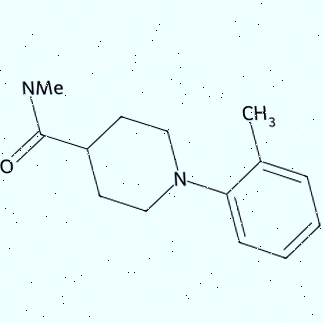 CNC(=O)C1CCN(c2ccccc2C)CC1